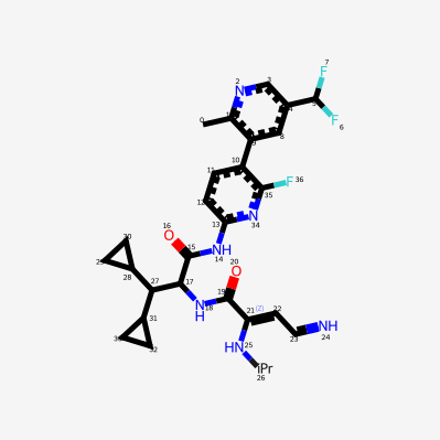 Cc1ncc(C(F)F)cc1-c1ccc(NC(=O)C(NC(=O)/C(=C/C=N)NC(C)C)C(C2CC2)C2CC2)nc1F